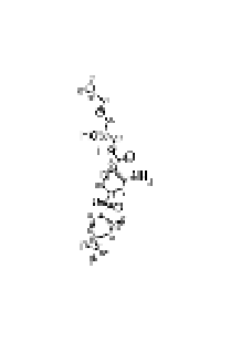 Nc1cc(S(=O)(=O)c2ccc(C(F)(F)F)cc2F)cnc1C(=O)NCC(O)COCC1CC1